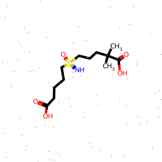 CC(C)(CCCS(=N)(=O)CCCCC(=O)O)C(=O)O